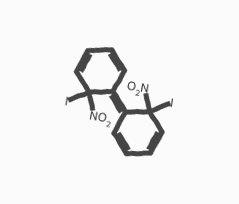 O=[N+]([O-])C1(I)C=CC=CC1=C1C=CC=CC1(I)[N+](=O)[O-]